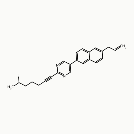 C=CCc1ccc2cc(-c3cnc(C#CCCCC(C)F)nc3)ccc2c1